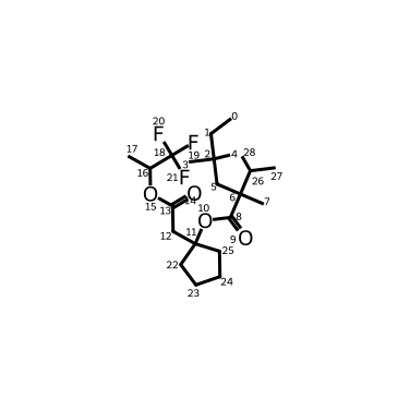 CCC(C)(C)CC(C)(C(=O)OC1(CC(=O)OC(C)C(F)(F)F)CCCC1)C(C)C